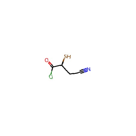 N#CCC(S)C(=O)Cl